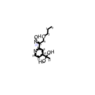 CCCOC/C(=N\O)c1cc(C(C)(O)O)ccn1